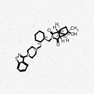 C[C@@]1(O)C[C@H]2C[C@@H]1[C@@H]1C(=O)N(C[C@@H]3CCCC[C@H]3CN3CCN(c4nsc5ccccc45)CC3)C(=O)[C@H]21